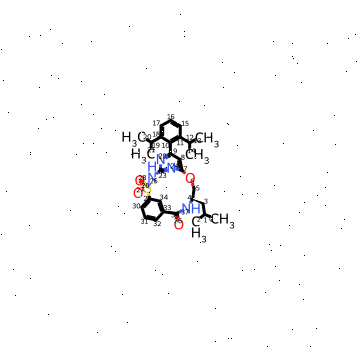 CC(C)C[C@@H]1COc2cc(-c3c(C(C)C)cccc3C(C)C)nc(n2)NS(=O)(=O)c2cccc(c2)C(=O)N1